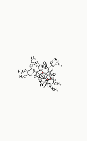 CCOc1cc(P(=O)(c2cc(C)c(OC)c(C)c2)c2cc(C)c(OC)c(C)c2)c(-c2cc(P(=O)(c3cc(C)c(OC)c(C)c3)c3cc(C)c(OC)c(C)c3)c(OCC)c3c2OCO3)c2c1OCO2